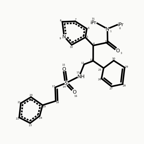 CC(C)N(C(=O)C(c1cccnc1)C(CNS(=O)(=O)/C=C/c1ccccc1)C1C=CC=CC1)C(C)C